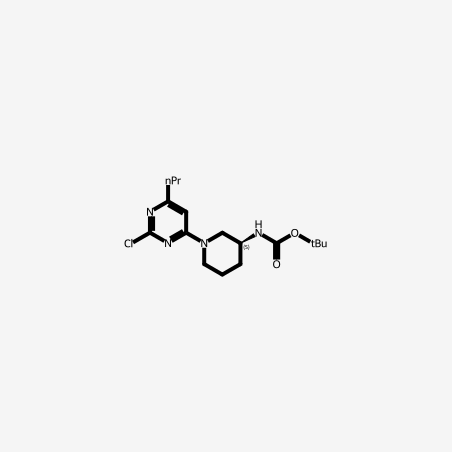 CCCc1cc(N2CCC[C@H](NC(=O)OC(C)(C)C)C2)nc(Cl)n1